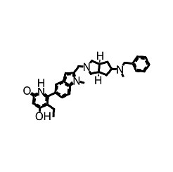 CCc1c(O)cc(=O)[nH]c1-c1ccc2c(c1)cc(CN1C[C@H]3CC(N(C)Cc4ccccc4)C[C@H]3C1)n2C